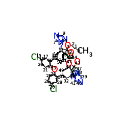 CC1COC(Cn2cncn2)(C2(Cl)C=CC(c3cc(Cl)ccc3Oc3ccc(Cl)cc3C3=CCC(Cl)(C4(Cn5cncn5)OCC(C)O4)C=C3)=CC2)O1